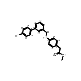 COC(=O)Cc1ccc(OCc2cccc(-c3ccc(F)cc3)c2)cc1